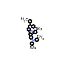 Cc1cccc(C(Cc2ccc3c4cc5ccc(N(c6ccc(C(C)(C)C)cc6)c6cccc(C)c6)cc5c5c6ccccc6n(c3c2)c45)c2ccc(C(C)(C)C)cc2)c1